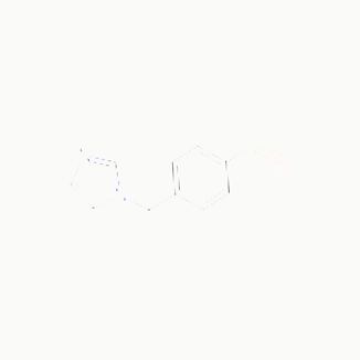 O=[S+]c1[c]cc(Cn2ccnc2)cc1